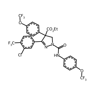 CCOC(=O)C1(c2ccc(OC(F)(F)F)cc2)CN(C(=O)Nc2ccc(OC(F)(F)F)cc2)N=C1c1ccc(C(F)(F)F)c(Cl)c1